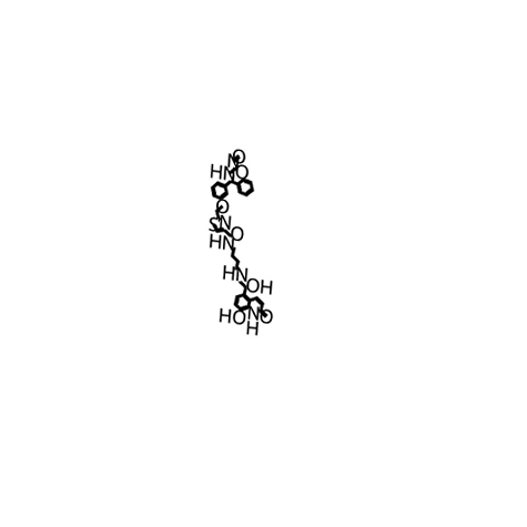 O=NC(=O)NC(c1ccccc1)c1cccc(OCc2nc(C(=O)NCCCCNCC(O)c3ccc(O)c4[nH]c(=O)ccc34)cs2)c1